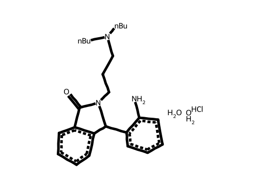 CCCCN(CCCC)CCCN1C(=O)c2ccccc2C1c1ccccc1N.Cl.O.O